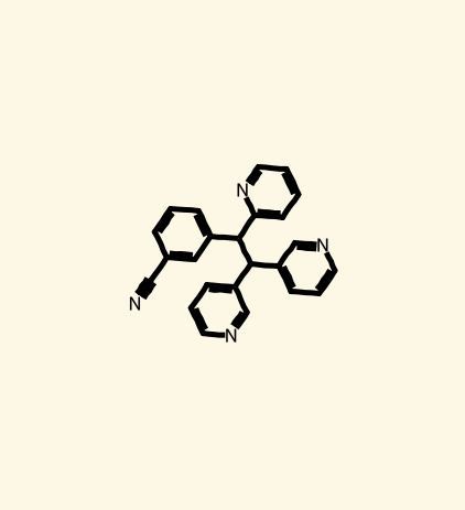 N#Cc1cccc(C(c2ccccn2)C(c2cccnc2)c2cccnc2)c1